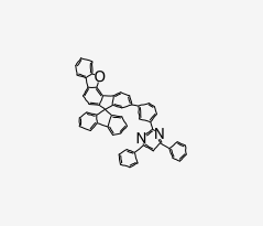 c1ccc(-c2cc(-c3ccccc3)nc(-c3cccc(-c4ccc5c(c4)C4(c6ccccc6-c6ccccc64)c4ccc6c(oc7ccccc76)c4-5)c3)n2)cc1